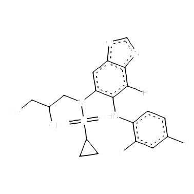 O=S(=O)(C1CC1)N(CC(O)CO)c1cc2ocnc2c(F)c1Nc1ccc(I)cc1F